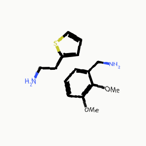 COc1cccc(CN)c1OC.NCCc1cccs1